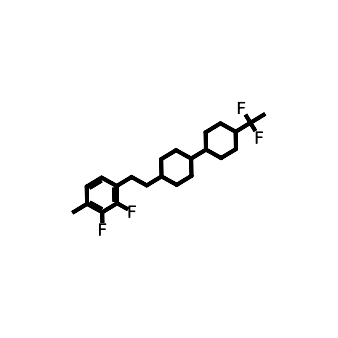 Cc1ccc(CCC2CCC(C3CCC(C(C)(F)F)CC3)CC2)c(F)c1F